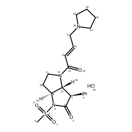 CC(C)[C@H]1C(=O)N(S(C)(=O)=O)[C@H]2CCN(C(=O)C=CCN3CCCC3)[C@H]12.Cl